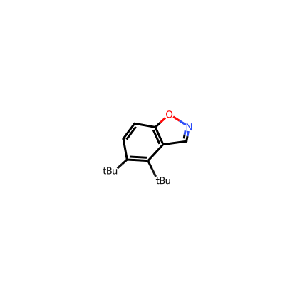 CC(C)(C)c1ccc2oncc2c1C(C)(C)C